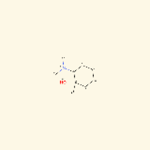 CN(C)C1C[CH]CCC1(C)O